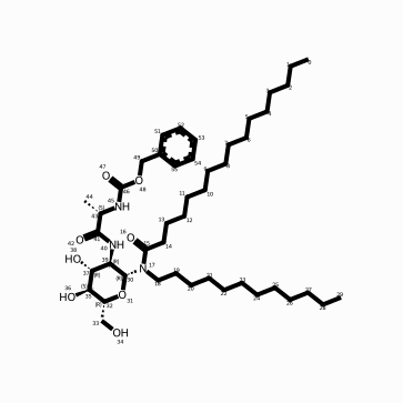 CCCCCCCCCCCCCCCC(=O)N(CCCCCCCCCCCC)[C@@H]1O[C@H](CO)[C@@H](O)[C@H](O)[C@H]1NC(=O)[C@H](C)NC(=O)OCc1ccccc1